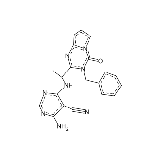 CC(Nc1ncnc(N)c1C#N)c1nc2cccn2c(=O)n1Cc1ccccc1